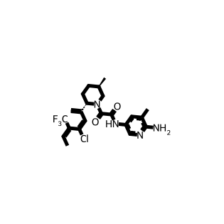 C=C(/C=C(Cl)\C(=C/C)C(F)(F)F)[C@@H]1CC[C@@H](C)CN1C(=O)C(=O)Nc1cnc(N)c(C)c1